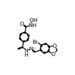 C=C(N/N=C/c1cc2c(cc1Br)OCO2)c1ccc(C(=O)NO)cc1